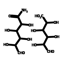 NC(=O)C(O)C(O)C(O)C(O)C=O.O=CC(O)C(O)C(O)C(O)C(=O)O